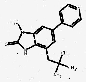 Cn1c(=O)[nH]c2c(CC(C)(C)C)cc(-c3ccncc3)cc21